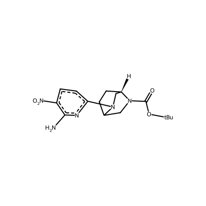 CC(C)(C)OC(=O)N1CC2CC[C@H]1CN2c1ccc([N+](=O)[O-])c(N)n1